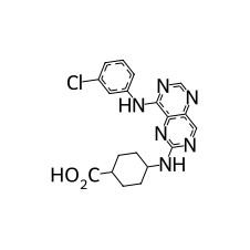 O=C(O)C1CCC(Nc2ncc3ncnc(Nc4cccc(Cl)c4)c3n2)CC1